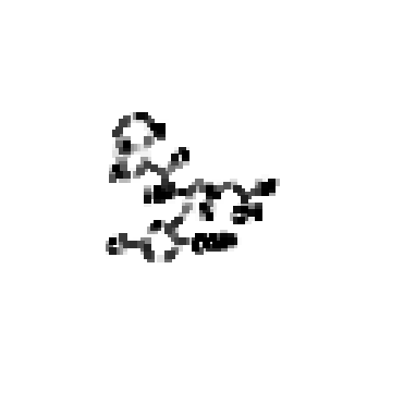 CCC(O)Cn1cc(NC(=O)c2cnn3cccnc23)c(-c2cc(Cl)ccc2OC)n1